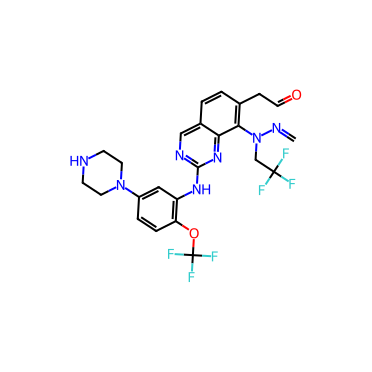 C=NN(CC(F)(F)F)c1c(CC=O)ccc2cnc(Nc3cc(N4CCNCC4)ccc3OC(F)(F)F)nc12